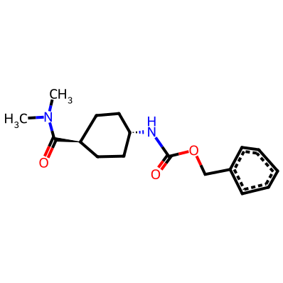 CN(C)C(=O)[C@H]1CC[C@H](NC(=O)OCc2ccccc2)CC1